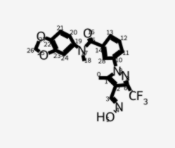 Cc1c(/C=N/O)c(C(F)(F)F)nn1-c1cccc(C(=O)N(C)c2ccc3c(c2)OCO3)c1